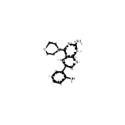 Nc1nc(N2CCOCC2)c2nc(-c3ccccc3O)cnc2n1